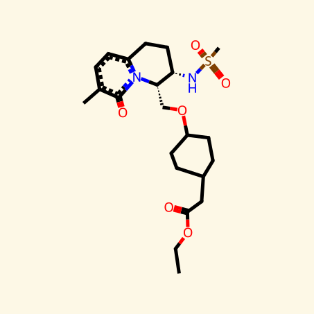 CCOC(=O)CC1CCC(OC[C@H]2[C@@H](NS(C)(=O)=O)CCc3ccc(C)c(=O)n32)CC1